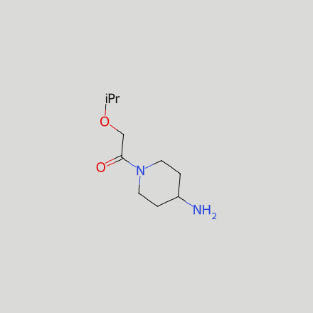 CC(C)OCC(=O)N1CCC(N)CC1